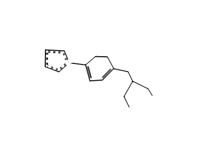 OCC(CO)CC1=CC=C(n2cccc2)CC1